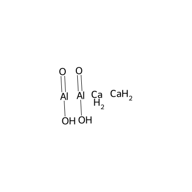 [CaH2].[CaH2].[O]=[Al][OH].[O]=[Al][OH]